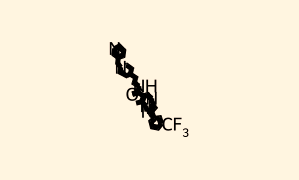 Cc1c(C(=O)NCCC2CCN(Cc3cccnc3)CC2)cnc2cc(-c3cccc(C(F)(F)F)c3)nn12